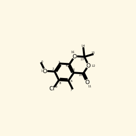 COc1cc2c(c(C)c1Cl)C(=O)OC(C)(C)O2